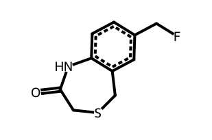 O=C1CSCc2cc(CF)ccc2N1